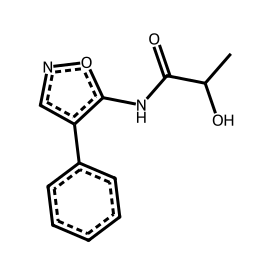 CC(O)C(=O)Nc1oncc1-c1ccccc1